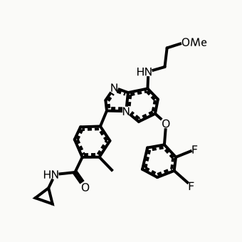 COCCNc1cc(Oc2cccc(F)c2F)cn2c(-c3ccc(C(=O)NC4CC4)c(C)c3)cnc12